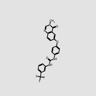 Cn1cnc2ccc(Oc3ccc(NC(=O)Nc4cccc(C(F)(F)F)c4)cc3)cc2c1=O